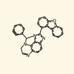 c1cccc(C2N3CC=Nc4ccc5nc(-c6cccc7oc8ccccc8c67)n2c5c43)c#1